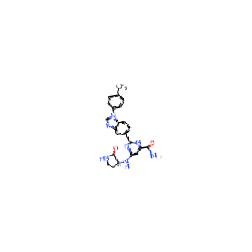 NC(=O)c1cc(N[C@H]2CCNC2=O)nc(-c2ccc3c(c2)ncn3-c2ccc(C(F)(F)F)cc2)n1